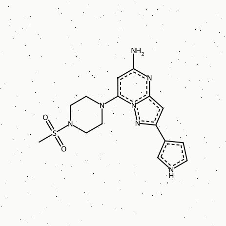 CS(=O)(=O)N1CCN(c2cc(N)nc3cc(-c4cc[nH]c4)nn23)CC1